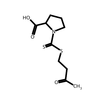 CC(=O)CCSC(=S)N1CCCC1C(=O)O